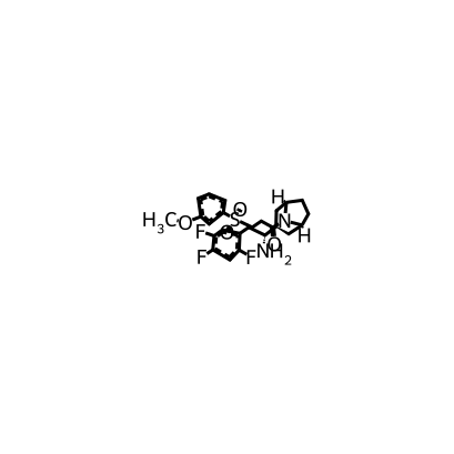 COc1cccc(S(=O)(=O)CCC(=O)N2[C@@H]3CC[C@H]2C[C@@H]([C@H](N)Cc2cc(F)c(F)cc2F)C3)c1